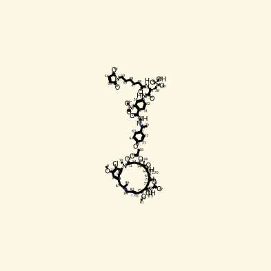 COc1cc2cc(c1Cl)N(C)C(=O)C[C@H](OC(=O)COc1ccc(/C(C)=N/NC(=O)c3ccc(NC(=O)[C@H](CS(=O)(=O)O)NC(=O)CCCCCN4C(=O)C=CC4=O)cc3[N+](=O)[O-])cc1)[C@]1(C)O[C@H]1[C@H](C)[C@@H]1C[C@@](O)(NC(=O)O1)[C@H](OC)/C=C/C=C(\C)C2